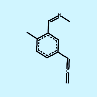 C=C=Cc1ccc(C)c(/C=N\C)c1